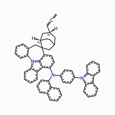 C=C=C[C@@H]1CC2CC[C@@H](C1)C1(Cc3ccccc3-n3c4ccccc4c4c(N(c5ccc(-n6c7ccccc7c7ccccc76)cc5)c5cccc6ccccc56)ccc1c43)C2